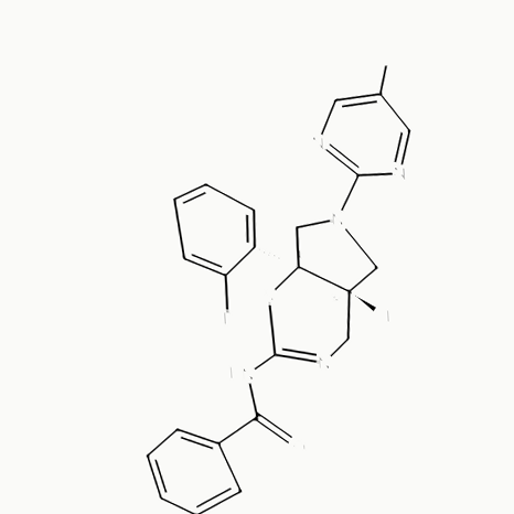 O=C(NC1=NC[C@H]2CN(c3ncc(F)cn3)C[C@]2(c2ccccc2F)S1)c1ccccc1